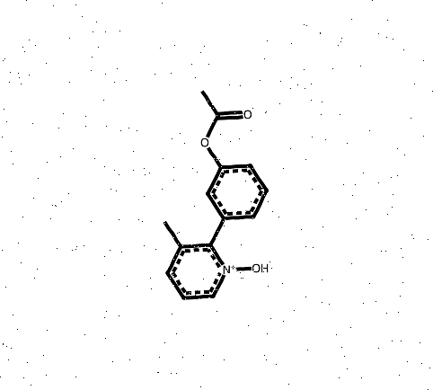 CC(=O)Oc1cccc(-c2c(C)ccc[n+]2O)c1